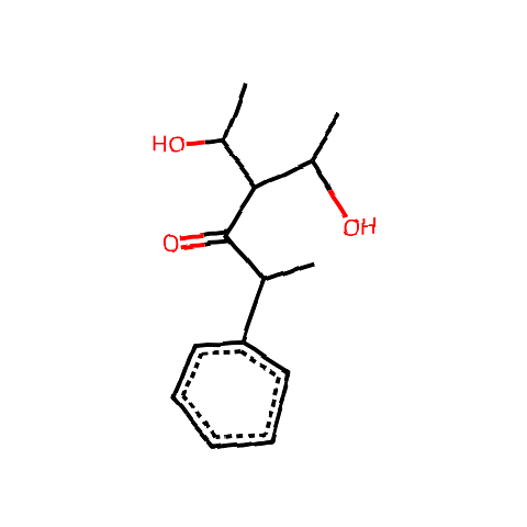 CC(C(=O)C(C(C)O)C(C)O)c1ccccc1